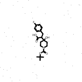 CC(C)(C)OC(=O)N1CCC(O)(C(Cc2ccc(F)cc2)C(=O)O)CC1